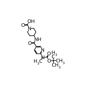 CN(C(=O)OC(C)(C)C)c1ccc(C(=O)NC2CCN(C(=O)O)CC2)cn1